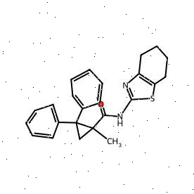 CC1(C(=O)Nc2nc3c(s2)CCCC3)CC1(c1ccccc1)c1ccccc1